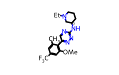 CCN1CCC[C@@H](Nc2ncc(-c3c(C)cc(C(F)(F)F)cc3OC)nn2)C1